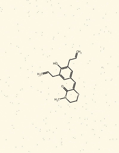 C=CCc1cc(/C=C2/SCCN(C)C2=O)cc(CC=C)c1O